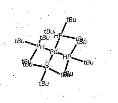 CC(C)(C)[PH](C(C)(C)C)(C(C)(C)C)[Pd]([PH](C(C)(C)C)(C(C)(C)C)C(C)(C)C)([PH](C(C)(C)C)(C(C)(C)C)C(C)(C)C)[PH](C(C)(C)C)(C(C)(C)C)C(C)(C)C